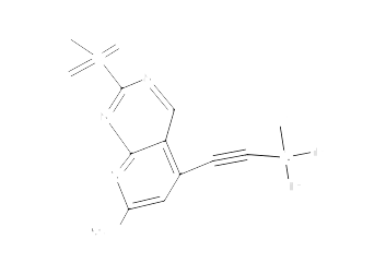 COc1cc(C#C[Si](C(C)C)(C(C)C)C(C)C)c2cnc(S(C)(=O)=O)nc2n1